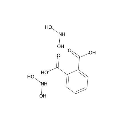 O=C(O)c1ccccc1C(=O)O.ONO.ONO